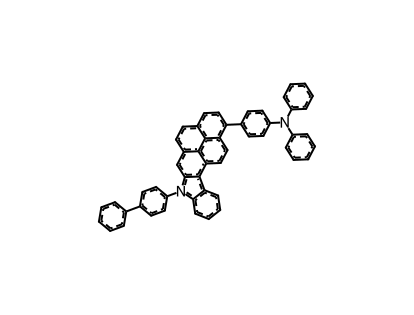 c1ccc(-c2ccc(-n3c4ccccc4c4c5ccc6c(-c7ccc(N(c8ccccc8)c8ccccc8)cc7)ccc7ccc(cc43)c5c76)cc2)cc1